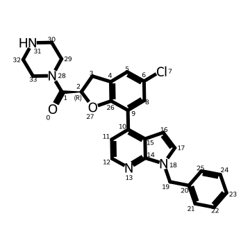 O=C([C@H]1Cc2cc(Cl)cc(-c3ccnc4c3ccn4Cc3ccccc3)c2O1)N1CCNCC1